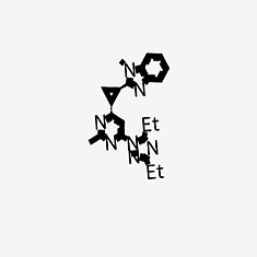 CCc1nc(CC)n(-c2cc([C@@H]3C[C@H]3c3nc4ccccc4n3C)nc(C)n2)n1